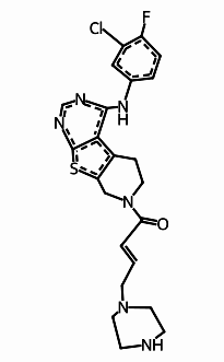 O=C(/C=C/CN1CCNCC1)N1CCc2c(sc3ncnc(Nc4ccc(F)c(Cl)c4)c23)C1